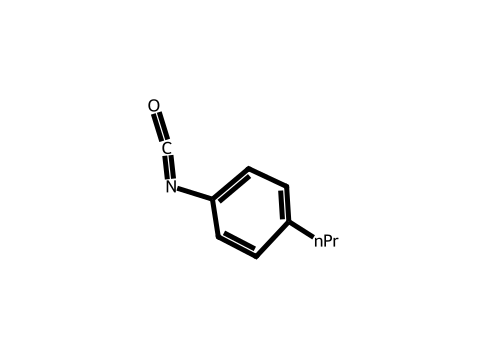 CCCc1ccc(N=C=O)cc1